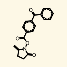 C=C1CCC(=O)N1OC(=O)c1ccc(C(=O)c2ccccc2)cc1